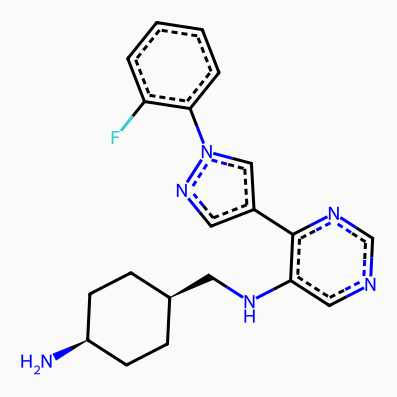 N[C@H]1CC[C@@H](CNc2cncnc2-c2cnn(-c3ccccc3F)c2)CC1